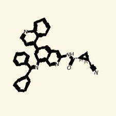 N#C[C@@H]1C[C@H]1C(=O)Nc1cc2cc(-c3ccnc4ccccc34)cc(N=C(c3ccccc3)c3ccccc3)c2cn1